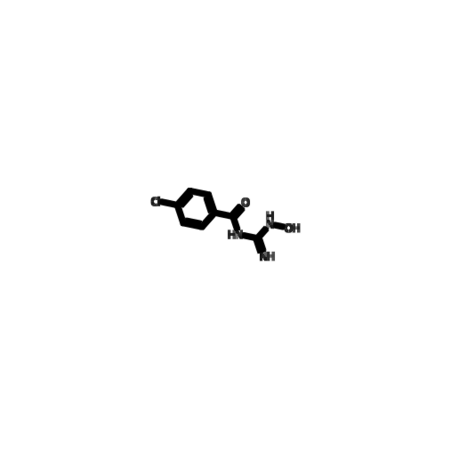 N=C(NO)NC(=O)c1ccc(Cl)cc1